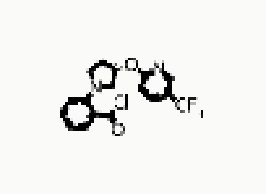 O=C(Cl)c1ccccc1N1CC[C@H](Oc2ccc(C(F)(F)F)cn2)C1